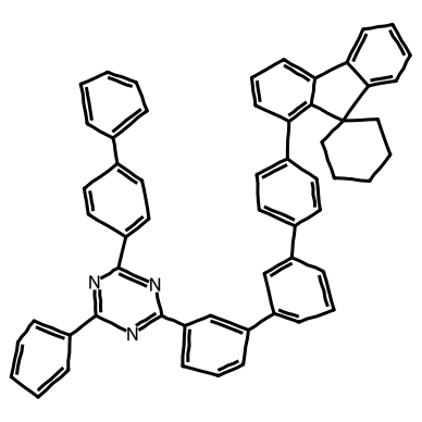 c1ccc(-c2ccc(-c3nc(-c4ccccc4)nc(-c4cccc(-c5cccc(-c6ccc(-c7cccc8c7C7(CCCCC7)c7ccccc7-8)cc6)c5)c4)n3)cc2)cc1